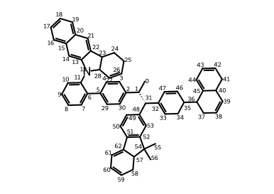 CC(c1ccc(-c2ccccc2N2c3cc4ccccc4cc3C3CCC=CC32)cc1)[C@H](C1=CCC(C2CC=CC3CC=CC=C32)C=C1)c1ccc2c(c1)C(C)(C)C1CC=CC=C21